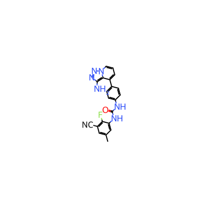 Cc1cc(C#N)c(F)c(NC(=O)Nc2ccc(-c3cccn4nnc(N)c34)cc2)c1